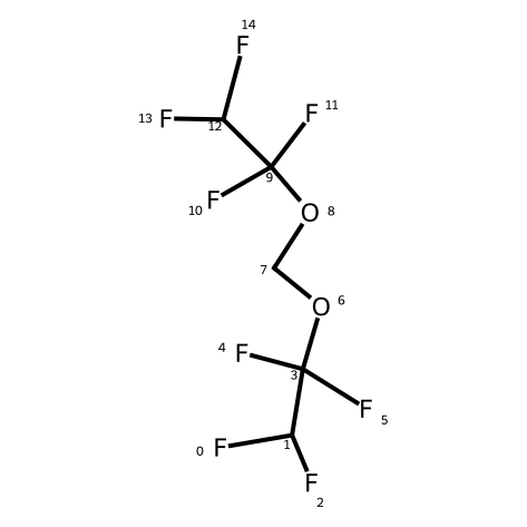 FC(F)C(F)(F)OCOC(F)(F)C(F)F